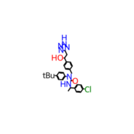 CC(NC(=O)N(Cc1ccc(C(O)Cc2nn[nH]n2)cc1)c1ccc(C(C)(C)C)cc1)c1ccc(Cl)cc1